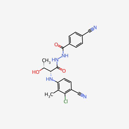 Cc1c(N[C@@H](C(=O)NNC(=O)c2ccc(C#N)cc2)[C@@H](C)O)ccc(C#N)c1Cl